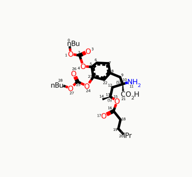 CCCCOC(=O)Oc1ccc(C[C@](N)(C[C@H](C)OC(=O)CCC(C)C)C(=O)O)cc1OC(=O)OCCCC